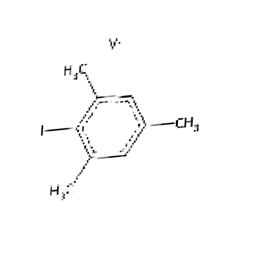 Cc1cc(C)c(I)c(C)c1.[V]